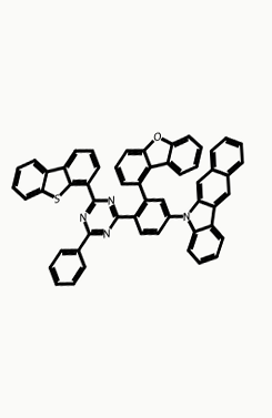 c1ccc(-c2nc(-c3ccc(-n4c5ccccc5c5cc6ccccc6cc54)cc3-c3cccc4oc5ccccc5c34)nc(-c3cccc4c3sc3ccccc34)n2)cc1